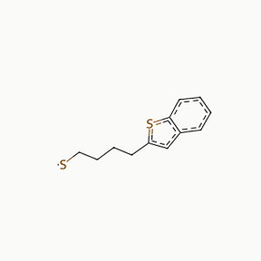 [S]CCCCc1cc2ccccc2s1